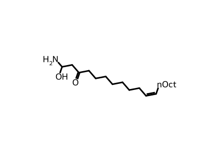 CCCCCCCC/C=C\CCCCCCCC(=O)CC(N)O